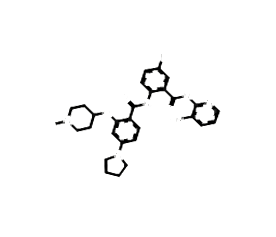 CN1CCC(Oc2cc(N3CCCC3)ccc2C(=O)Nc2ccc(F)cc2C(=O)Nc2ncccc2[N+](=O)[O-])CC1